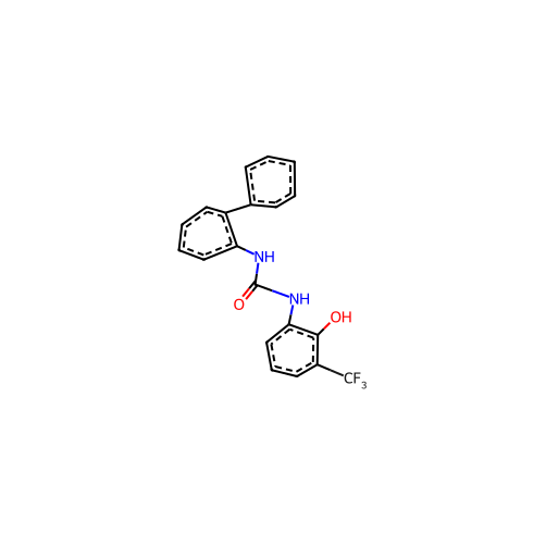 O=C(Nc1ccccc1-c1ccccc1)Nc1cccc(C(F)(F)F)c1O